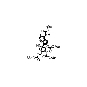 COC(=O)OC[C@H]1O[C@@](C#N)(c2ccc3c(NC(=O)OC(C)(C)C)ncnn23)[C@H](OC(=O)OC)[C@@H]1OC(=O)OC